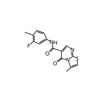 Cc1ccc(NC(=O)c2cnc3scc(C)n3c2=O)cc1F